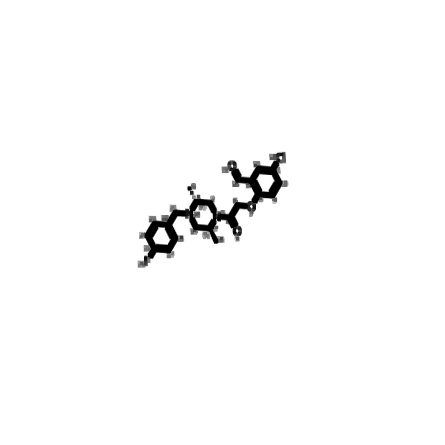 C[C@@H]1CN(C(=O)COc2ccc(Cl)cc2C=O)[C@@H](C)CN1Cc1ccc(F)cc1